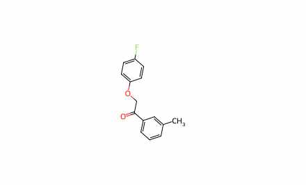 Cc1cccc(C(=O)COc2ccc(F)cc2)c1